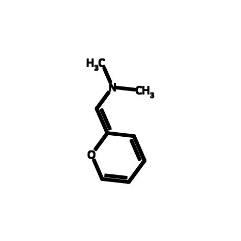 CN(C)C=C1C=CC=CO1